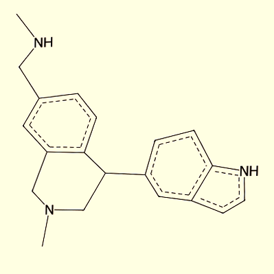 CNCc1ccc2c(c1)CN(C)CC2c1ccc2[nH]ccc2c1